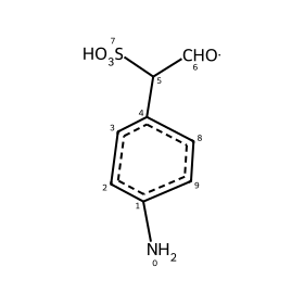 Nc1ccc(C([C]=O)S(=O)(=O)O)cc1